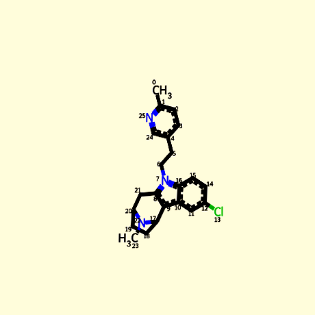 Cc1ccc(CCn2c3c(c4cc(Cl)ccc42)C2CCC(C3)N2C)cn1